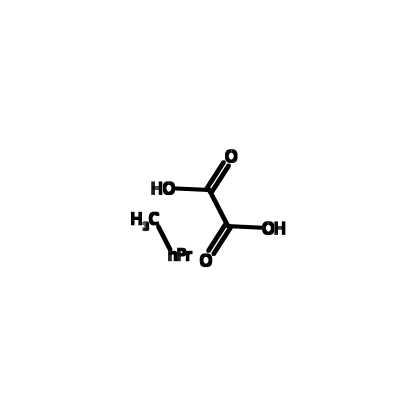 CCCC.O=C(O)C(=O)O